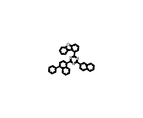 c1ccc(-c2ccc(-c3nc(-c4ccc5ccccc5c4)nc(-c4cccc5oc6ccccc6c45)n3)c3ccccc23)cc1